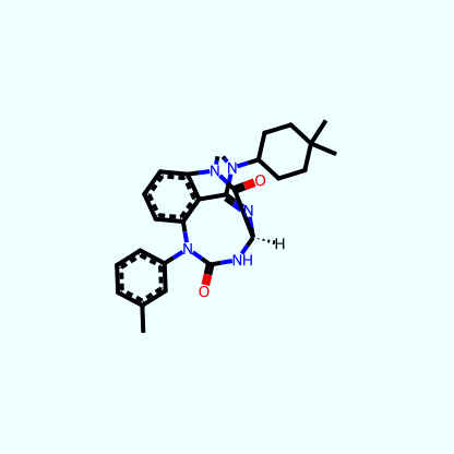 Cc1cccc(N2C(=O)N[C@@H]3N=C(N(C)C4CCC(C)(C)CC4)c4c(cccc42)N(C)C3=O)c1